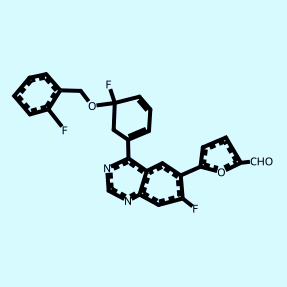 O=Cc1ccc(-c2cc3c(C4=CC=CC(F)(OCc5ccccc5F)C4)ncnc3cc2F)o1